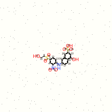 O=[N+]([O-])c1cc(S(=O)(=O)CCO)ccc1Nc1ccc2c(O)cc(S(=O)(=O)O)cc2c1